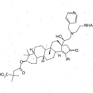 CC(=O)NCCN(Cc1ccncc1)C[C@H](O)[C@@]12CC[C@]3(C)[C@H](CC[C@@H]4[C@@]5(C)CC[C@@H](OC(=O)CC(C)(C)C(=O)O)C(C)(C)[C@@H]5CC[C@]43C)C1=C(C(C)C)C(=O)C2